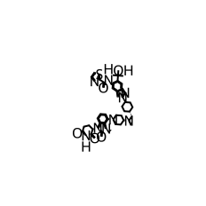 CN(C[C@H]1CC[C@H](n2cc3cc(NC(=O)c4nccs4)c(C(C)(C)O)cc3n2)CC1)C1CCN(c2cccc3c2n(C)c(=O)n3C2CCC(=O)NC2=O)CC1